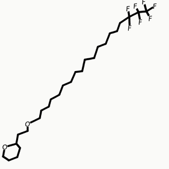 FC(F)(F)C(F)(F)C(F)(F)CCCCCCCCCCCCCCCCOCCC1CCCCO1